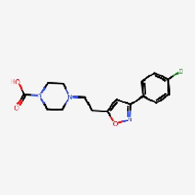 O=C(O)N1CCN(CCc2cc(-c3ccc(Cl)cc3)no2)CC1